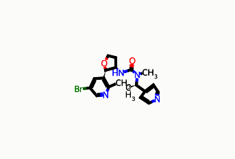 Cc1ncc(Br)cc1[C@@H]1OCC[C@H]1NC(=O)N(C)[C@@H](C)c1ccncc1